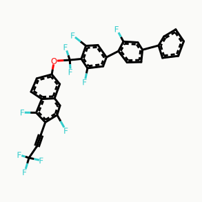 Fc1cc(-c2ccccc2)ccc1-c1cc(F)c(C(F)(F)Oc2ccc3c(F)c(C#CC(F)(F)F)c(F)cc3c2)c(F)c1